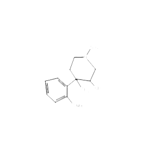 COc1ccccc1C1(C)CCN(C)CC1C